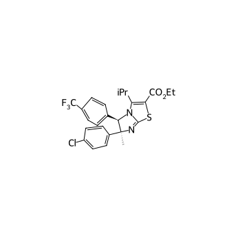 CCOC(=O)C1=C(C(C)C)N2C(=N[C@@](C)(c3ccc(Cl)cc3)[C@H]2c2ccc(C(F)(F)F)cc2)S1